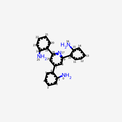 Nc1ccccc1-c1cc(-c2ccccc2N)nc(-c2ccccc2N)c1